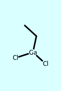 C[CH2][Ga]([Cl])[Cl]